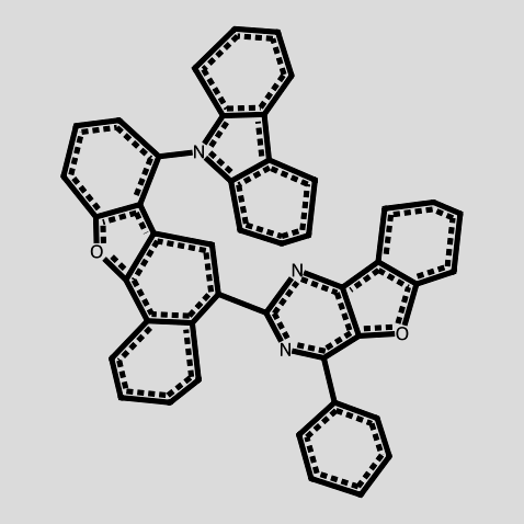 c1ccc(-c2nc(-c3cc4c(oc5cccc(-n6c7ccccc7c7ccccc76)c54)c4ccccc34)nc3c2oc2ccccc23)cc1